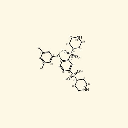 Cc1cc(C)cc(Oc2ccc(S(=O)(=O)N3CCNCC3)cc2S(=O)(=O)N2CCNCC2)c1